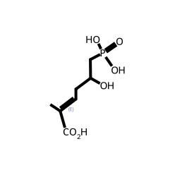 C/C(=C\CC(O)CP(=O)(O)O)C(=O)O